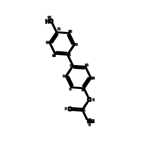 CCC(C)C(=O)Oc1ccc(-c2ccc(O)cc2)cc1